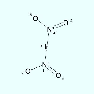 O=[N+]([O-])[Ir][N+](=O)[O-]